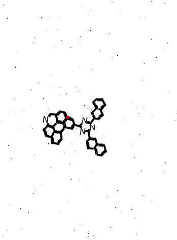 c1cc(-c2nc(-c3ccc4ccccc4c3)nc(-c3ccc4ccccc4c3)n2)cc(-c2cccc3ccc4ncc5ccccc5c4c23)c1